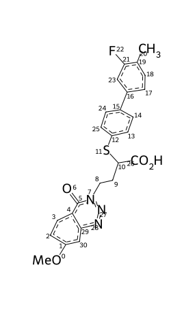 COc1ccc2c(=O)n(CCC(Sc3ccc(-c4ccc(C)c(F)c4)cc3)C(=O)O)nnc2c1